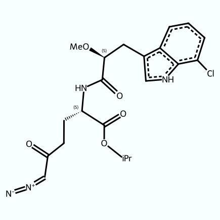 CO[C@@H](Cc1c[nH]c2c(Cl)cccc12)C(=O)N[C@@H](CCC(=O)C=[N+]=[N-])C(=O)OC(C)C